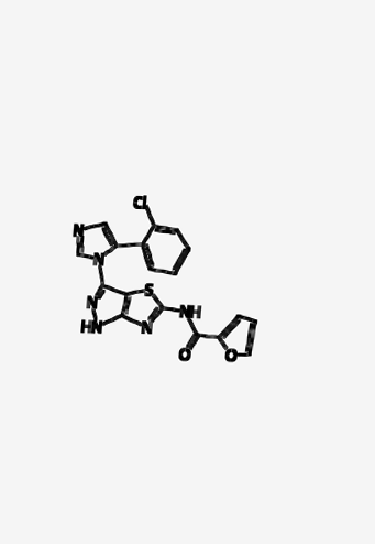 O=C(Nc1nc2[nH]nc(-n3cncc3-c3ccccc3Cl)c2s1)c1ccco1